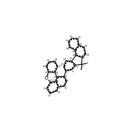 CC1(C)c2cc(-c3ccc4cccc5c4c3-c3ccccc3O5)ccc2-c2c1ccc1ccccc21